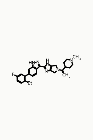 C=C(C1CCN(C)CC1)N1Cc2nc(-c3n[nH]c4cc(-c5cc(F)ccc5CC)ccc34)[nH]c2C1